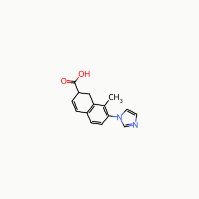 Cc1c(-n2ccnc2)ccc2c1CC(C(=O)O)C=C2